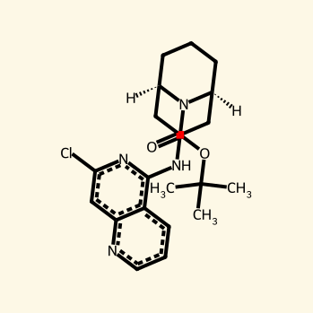 CC(C)(C)OC(=O)N1[C@@H]2CCC[C@H]1CC(Nc1nc(Cl)cc3ncccc13)C2